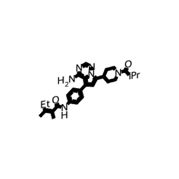 CC/C(C)=C(/C)C(=O)Nc1ccc(-c2cc(C3CCN(C(=O)C(C)C)CC3)n3ncnc(N)c23)cc1